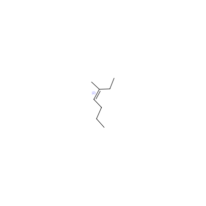 CCC/C=C(/C)CC